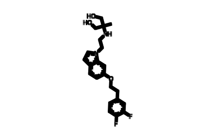 CC(CO)(CO)NCCn1ccc2ccc(OCCc3ccc(F)c(F)c3)cc21